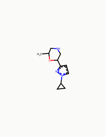 CC1CNCC(c2ccn(C3CC3)n2)O1